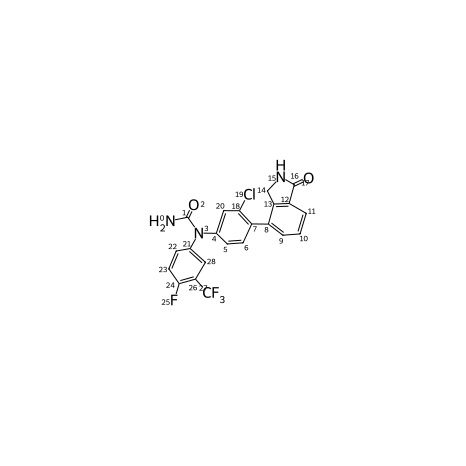 NC(=O)N(c1ccc(-c2cccc3c2CNC3=O)c(Cl)c1)c1ccc(F)c(C(F)(F)F)c1